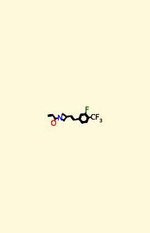 C=CC(=O)N1CC(/C=C/c2ccc(C(F)(F)F)c(F)c2)C1